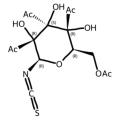 CC(=O)OC[C@H]1O[C@@H](N=C=S)[C@@](O)(C(C)=O)[C@](O)(C(C)=O)[C@@]1(O)C(C)=O